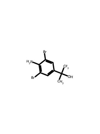 CC(O)(c1cc(Br)c(N)c(Br)c1)C(F)(F)F